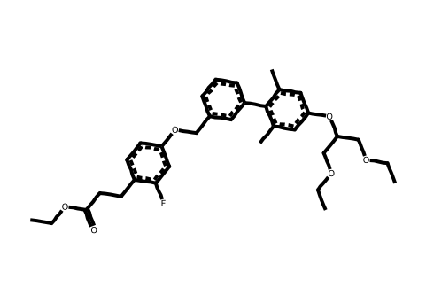 CCOCC(COCC)Oc1cc(C)c(-c2cccc(COc3ccc(CCC(=O)OCC)c(F)c3)c2)c(C)c1